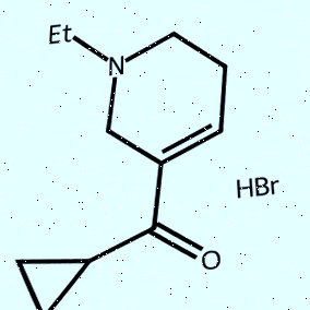 Br.CCN1CCC=C(C(=O)C2CC2)C1